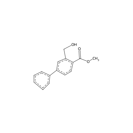 COC(=O)c1ccc(-c2ccccc2)cc1CO